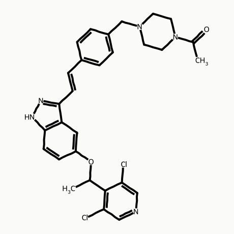 CC(=O)N1CCN(Cc2ccc(/C=C/c3n[nH]c4ccc(OC(C)c5c(Cl)cncc5Cl)cc34)cc2)CC1